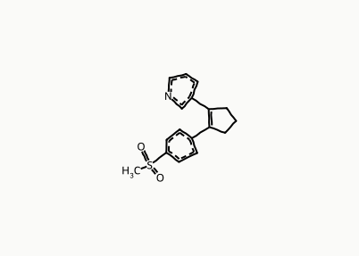 CS(=O)(=O)c1ccc(C2=C(c3cccnc3)CCC2)cc1